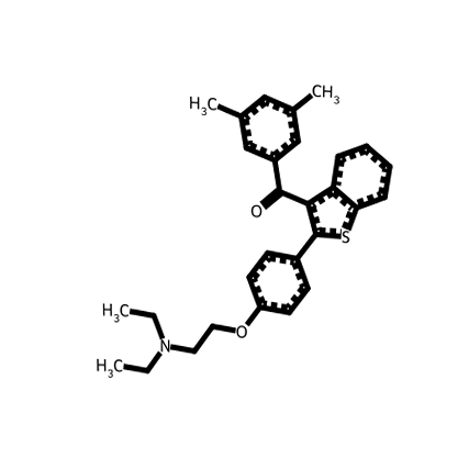 CCN(CC)CCOc1ccc(-c2sc3ccccc3c2C(=O)c2cc(C)cc(C)c2)cc1